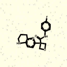 O=C(Nc1ccc(F)cc1)C1(c2ccc3c(n2)CCCN3)COC1